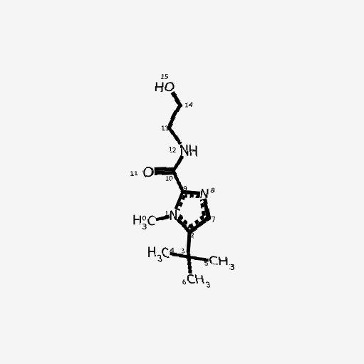 Cn1c(C(C)(C)C)cnc1C(=O)NCCO